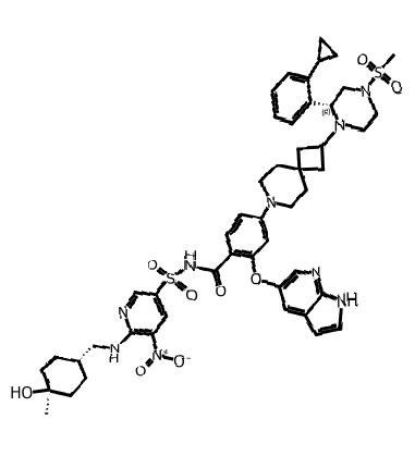 CS(=O)(=O)N1CCN(C2CC3(CCN(c4ccc(C(=O)NS(=O)(=O)c5cnc(NC[C@H]6CC[C@](C)(O)CC6)c([N+](=O)[O-])c5)c(Oc5cnc6[nH]ccc6c5)c4)CC3)C2)[C@H](c2ccccc2C2CC2)C1